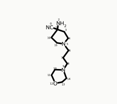 N#CC1(N)CCN(CCCN2CCOCC2)CC1